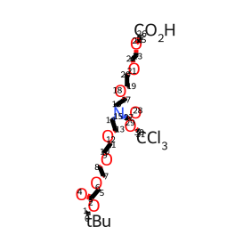 CC(C)(C)COC(=O)COCCOCCOCCN(CCOCCOCCOCC(=O)O)C(=O)OCC(Cl)(Cl)Cl